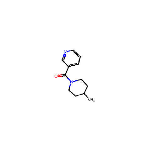 CC1CCN(C(=O)c2cccnc2)CC1